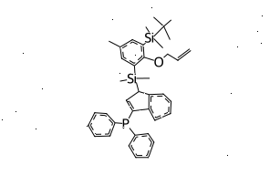 C=CCOc1c([Si](C)(C)C2C=C(P(c3ccccc3)c3ccccc3)c3ccccc32)cc(C)cc1[Si](C)(C)C(C)(C)C